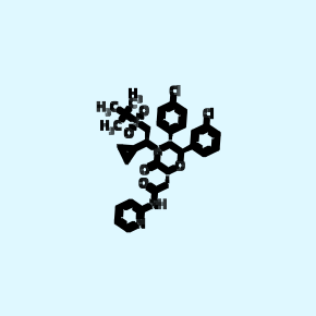 CC(C)(C)S(=O)(=O)C[C@H](C1CC1)N1C(=O)[C@@H](CC(=O)Nc2ccccn2)O[C@H](c2cccc(Cl)c2)[C@H]1c1ccc(Cl)cc1